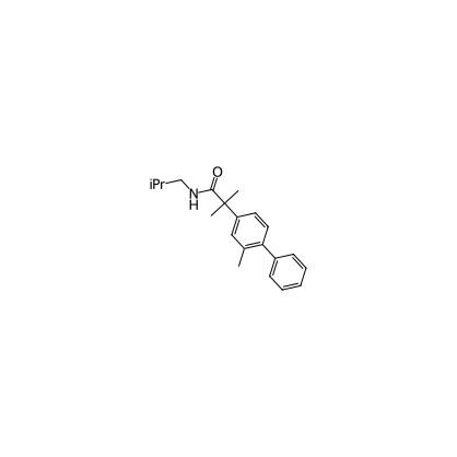 Cc1cc(C(C)(C)C(=O)NCC(C)C)ccc1-c1ccccc1